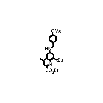 CCOC(=O)c1cc(C)c2c(n1)=C(C(C)(C)C)CC(NCc1ccc(OC)cc1)C=2